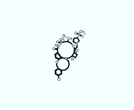 CC[C@]1(CN2CC[C@H](S(C)(=O)=O)C2)OCC(C)[C@@H](C)S(=O)(=O)NC(=O)c2ccc3c(c2)N(CCCCc2cc(Cl)ccc2CO3)C[C@@H]2CC[C@H]21